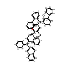 c1ccc(-c2ccccc2N(c2ccc3c(c2)Oc2cccc4c(N(c5ccccc5)c5ccc6ccccc6c5)ccc-3c24)c2cccc3c2oc2ccccc23)cc1